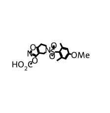 COc1cc(C)c(S(=O)(=O)N2CCc3onc(OC(=O)O)c3C2)c(C)c1